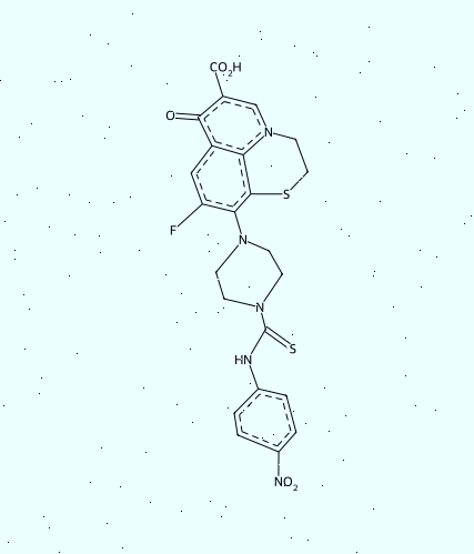 O=C(O)c1cn2c3c(c(N4CCN(C(=S)Nc5ccc([N+](=O)[O-])cc5)CC4)c(F)cc3c1=O)SCC2